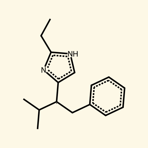 CCc1nc([C](Cc2ccccc2)C(C)C)c[nH]1